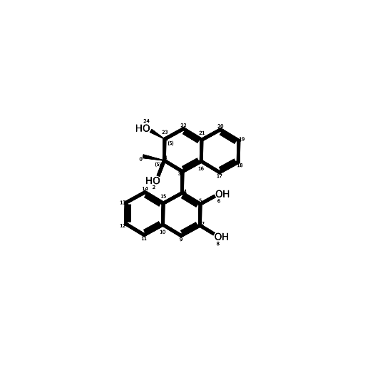 C[C@]1(O)C(c2c(O)c(O)cc3ccccc23)=c2ccccc2=C[C@@H]1O